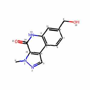 Cn1ncc2c3ccc(CO)cc3[nH]c(=O)c21